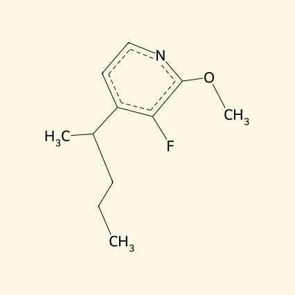 CCCC(C)c1ccnc(OC)c1F